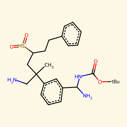 CC(C)(C)OC(=O)NC(N)c1cccc(C(C)([CH]N)CC(CCc2ccccc2)[SH](=O)=O)c1